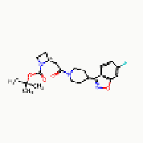 CC(C)(C)OC(=O)N1CC[C@H]1CC(=O)N1CCC(c2noc3cc(F)ccc23)CC1